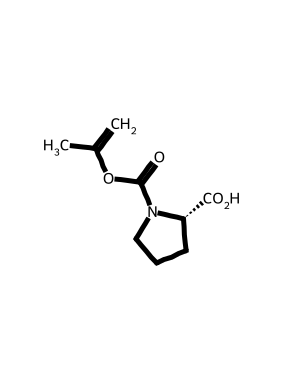 C=C(C)OC(=O)N1CCC[C@H]1C(=O)O